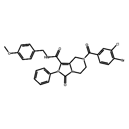 COc1ccc(CNC(=O)c2c3n(c(=O)n2-c2ccccc2)CCN(C(=O)c2ccc(Br)c(Cl)c2)C3)cc1